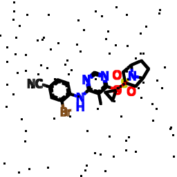 Cc1c(Nc2ccc(C#N)cc2Br)ncnc1OC1CC2CCC(C1)N2S(=O)(=O)C1CC1